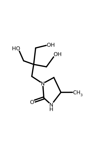 CC1CN(CC(CO)(CO)CO)C(=O)N1